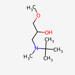 COCC(O)CN(C)C(C)(C)C